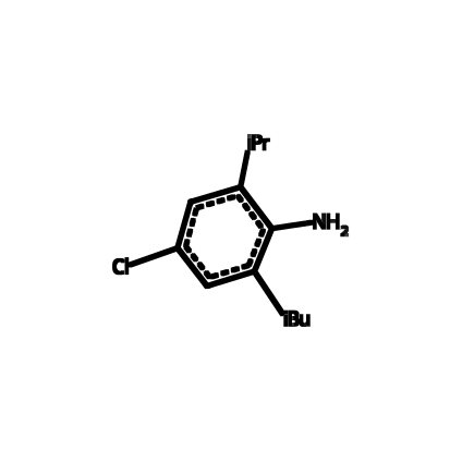 CCC(C)c1cc(Cl)cc(C(C)C)c1N